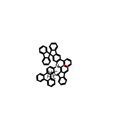 CC1(C)c2ccccc2-c2cccc(N(c3ccc4c5ccccc5c5ccccc5c4c3)c3cc4c(cc3-c3ccccc3)-c3ccccc3C43c4ccccc4-c4ccccc43)c21